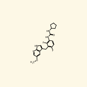 COc1cnc2[nH]cc(Cc3c(F)ccc(NC(=O)NC4CCCC4)c3F)c2c1